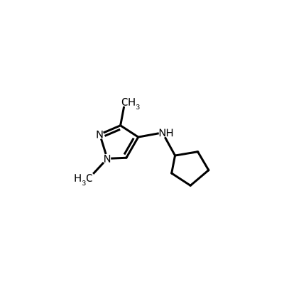 Cc1nn(C)cc1NC1CCCC1